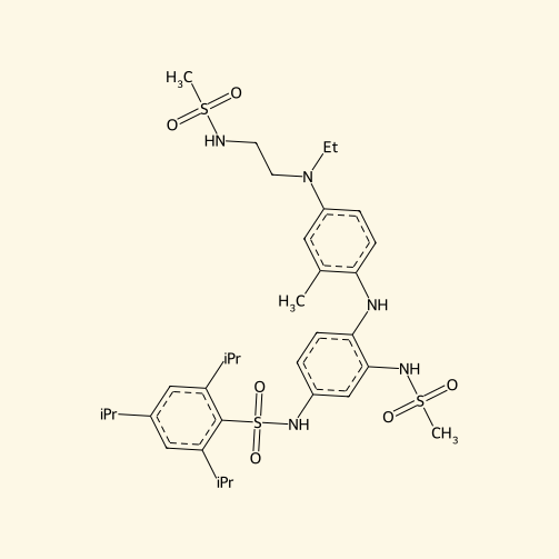 CCN(CCNS(C)(=O)=O)c1ccc(Nc2ccc(NS(=O)(=O)c3c(C(C)C)cc(C(C)C)cc3C(C)C)cc2NS(C)(=O)=O)c(C)c1